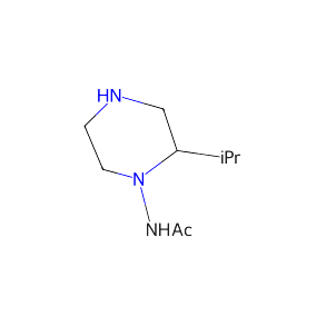 CC(=O)NN1CCNCC1C(C)C